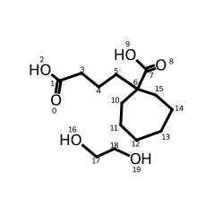 O=C(O)CCCC1(C(=O)O)CCCCCC1.OCCO